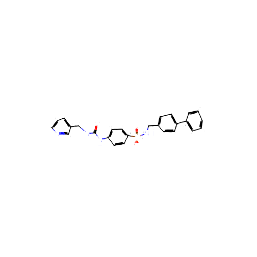 O=C(NCc1cccnc1)Nc1ccc(S(=O)(=O)NCc2ccc(-c3ccccc3)cc2)cc1